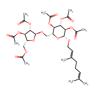 CC(=O)OC[C@H]1O[C@H](OC[C@H]2O[C@@H](OC/C=C(\C)CCC=C(C)C)[C@H](OC(C)=O)[C@@H](OC(C)=O)[C@@H]2OC(C)=O)[C@@H](OC(C)=O)[C@@H]1OC(C)=O